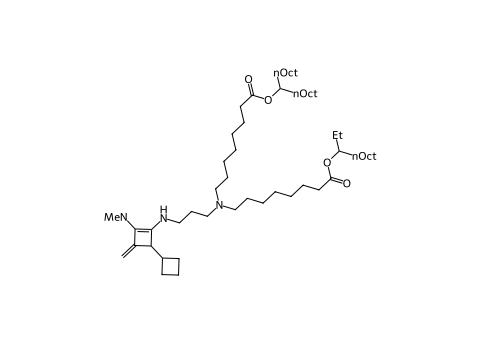 C=C1C(NC)=C(NCCCN(CCCCCCCC(=O)OC(CC)CCCCCCCC)CCCCCCCC(=O)OC(CCCCCCCC)CCCCCCCC)C1C1CCC1